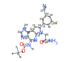 CN(C(=O)OC(C)(C)C)c1nc2c(cc(-c3cc(F)cc(C#N)c3)n2CC(N)=O)c2c1ncn2C